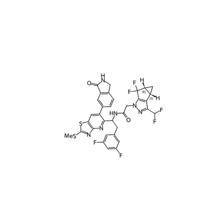 CSc1nc2nc(C(Cc3cc(F)cc(F)c3)NC(=O)Cn3nc(C(F)F)c4c3C(F)(F)[C@@H]3C[C@H]43)c(-c3ccc4c(c3)C(=O)NC4)cc2s1